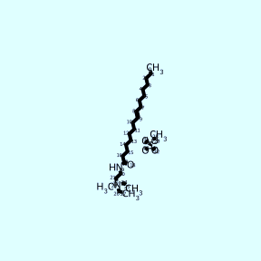 CCCCCCCCC=CCCCCCCCC(=O)NCC[N+](C)(CC)CC.COS(=O)(=O)[O-]